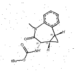 CN1C(=O)[C@@H](NC(=O)OC(C)(C)C)[C@H]2C[C@H]2c2ccccc21